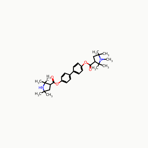 CN1C(C)(C)CC(C(=O)Oc2ccc(-c3ccc(OC(=O)C4CC(C)(C)NC4(C)C)cc3)cc2)C1(C)C